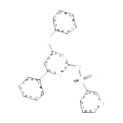 O=S(=O)(Nc1nc(Oc2ccccc2)cc(-c2ccccc2)n1)c1cccnc1